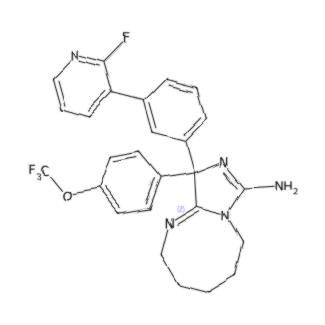 NC1=NC(c2ccc(OC(F)(F)F)cc2)(c2cccc(-c3cccnc3F)c2)/C2=N/CCCCCN12